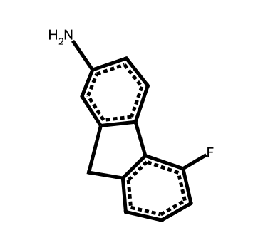 Nc1ccc2c(c1)Cc1cccc(F)c1-2